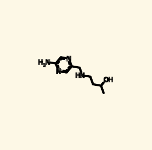 CC(O)CCNCc1cnc(N)cn1